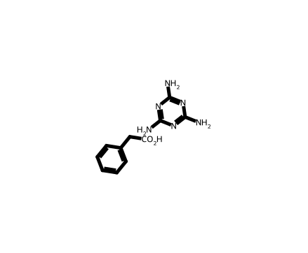 Nc1nc(N)nc(N)n1.O=C(O)Cc1ccccc1